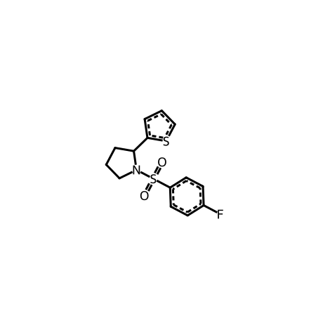 O=S(=O)(c1ccc(F)cc1)N1CCCC1c1cccs1